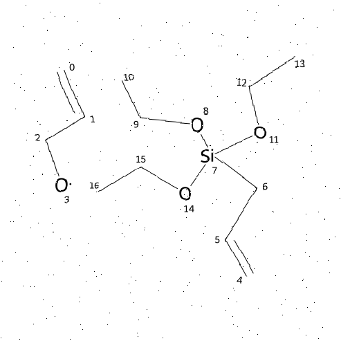 C=CC[O].C=CC[Si](OCC)(OCC)OCC